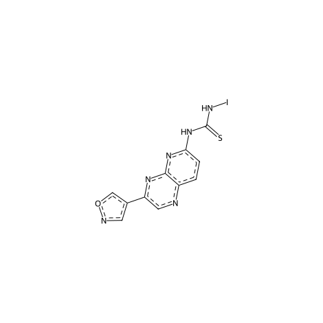 S=C(NI)Nc1ccc2ncc(-c3cnoc3)nc2n1